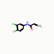 C=CC(=O)Nc1ccc(Cl)c(Cl)c1